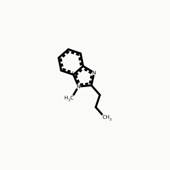 CCCc1nc2ccccc2n1C